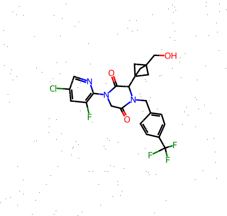 O=C1C(C23CC(CO)(C2)C3)N(Cc2ccc(C(F)(F)F)cc2)C(=O)CN1c1ncc(Cl)cc1F